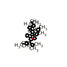 Cc1cc(C)cc(N(c2ccc(C(C)(C)C)cc2)c2ccc3c4c(c5ccccc5c3c2)-c2c(cc(N(c3ccc(C(C)(C)C)cc3)c3cc(C)cc(C)c3)c3c2oc2ccccc23)C4(c2ccccc2)c2ccccc2)c1